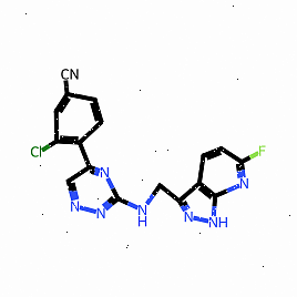 N#Cc1ccc(-c2cnnc(NCc3n[nH]c4nc(F)ccc34)n2)c(Cl)c1